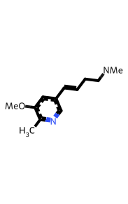 CNCC/C=C/c1cnc(C)c(OC)c1